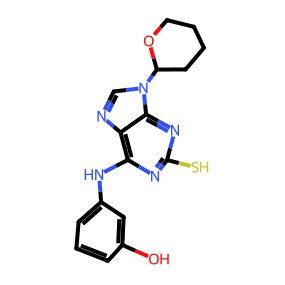 Oc1cccc(Nc2nc(S)nc3c2ncn3C2CCCCO2)c1